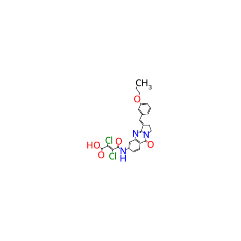 CCCOc1cccc(C=C2CCn3c2nc2cc(NC(=O)C(Cl)=C(Cl)C(=O)O)ccc2c3=O)c1